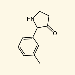 Cc1cccc(C2NCCC2=O)c1